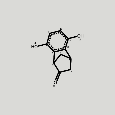 O=C1CC2CC1c1c(O)ccc(O)c12